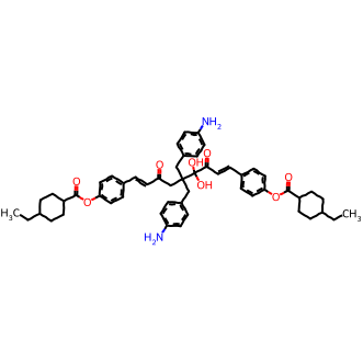 CCC1CCC(C(=O)Oc2ccc(/C=C/C(=O)CC(Cc3ccc(N)cc3)(Cc3ccc(N)cc3)C(O)(O)C(=O)/C=C/c3ccc(OC(=O)C4CCC(CC)CC4)cc3)cc2)CC1